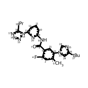 Cc1cc(F)c(C(=O)Nc2cccc(-n3nnnc3C(C)C)n2)cc1-n1cnc(C(C)(C)C)c1